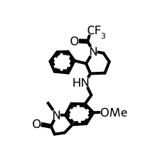 COc1cc2c(cc1CNC1CCCN(C(=O)C(F)(F)F)C1c1ccccc1)N(C)C(=O)CC2